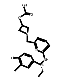 CC[C@@H](Nc1cccc(CN2CC(OC(=O)O)C2)n1)c1ccc(Cl)c(C)c1